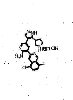 Cl.Cl.Cl.Nc1ncc(-c2cn[nH]c2C2CCNC2)cc1-c1cc2c(Cl)ccc(F)c2cn1